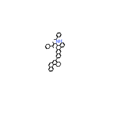 C/C(=C(/C)C(NC(C)c1ccccc1)C1Cc2cc3cc(-c4cc5ccc6ccccc6c5c5c4CCCC5)ccc3cc2-c2ccccc21)C1CC=CCC1